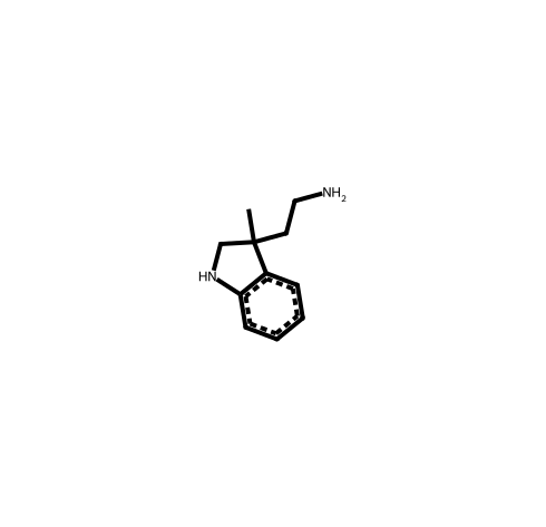 CC1(CCN)CNc2ccccc21